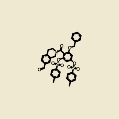 Cc1ccc(S(=O)(=O)Oc2cc(OCc3ccccc3)c(C(=O)N3CCc4ccc(C=O)cc4C3)c(OS(=O)(=O)c3ccc(C)cc3)c2)cc1